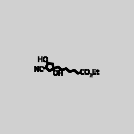 CCOC(=O)CCCCCCC1(O)CC(O)C(C#N)C1